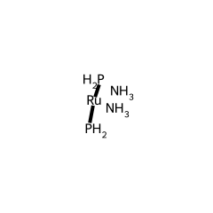 N.N.[PH2][Ru][PH2]